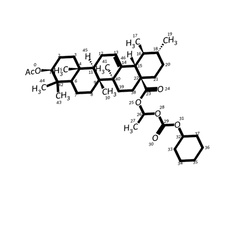 CC(=O)O[C@H]1CC[C@@]2(C)C(CC[C@]3(C)[C@@H]2CC=C2[C@@H]4[C@@H](C)[C@H](C)CC[C@]4(C(=O)OC(C)OC(=O)OC4CCCCC4)CC[C@]23C)C1(C)C